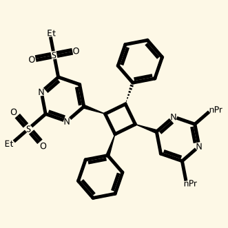 CCCc1cc([C@H]2[C@@H](c3ccccc3)[C@@H](c3cc(S(=O)(=O)CC)nc(S(=O)(=O)CC)n3)[C@@H]2c2ccccc2)nc(CCC)n1